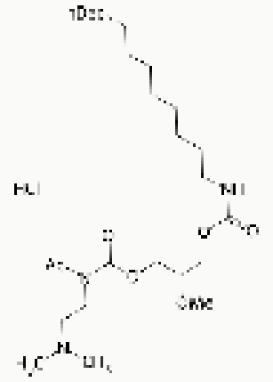 CCCCCCCCCCCCCCCCCCNC(=O)OCC(COC(=O)N(CCN(C)C)C(C)=O)OC.Cl